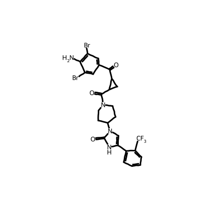 Nc1c(Br)cc(C(=O)C2CC2C(=O)N2CCC(n3cc(-c4ccccc4C(F)(F)F)[nH]c3=O)CC2)cc1Br